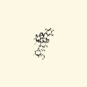 CCc1ccccc1CN1CCN(C2(c3cncc(C)n3)C(=O)c3ccccc3C2=O)CC1